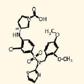 COc1ccc(CN(c2nccs2)S(=O)(=O)c2ccc(N[C@@H]3CCN(C(=O)O)C3)c(Cl)c2)c(OC)c1